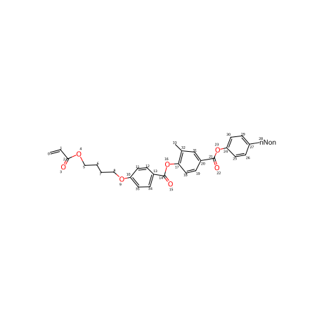 C=CC(=O)OCCCCOc1ccc(C(=O)Oc2ccc(C(=O)Oc3ccc(CCCCCCCCC)cc3)cc2C)cc1